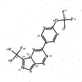 FC(F)(F)Oc1ccc(-c2cn3c(C(F)(F)F)ncc3cn2)cc1